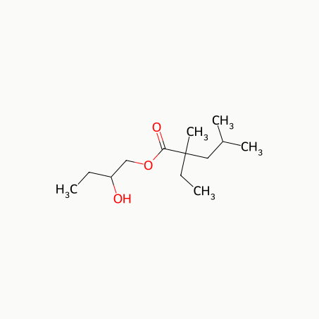 CCC(O)COC(=O)C(C)(CC)CC(C)C